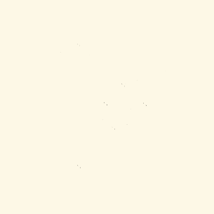 CN(C)c1ccc(-n2c3nc(=O)n(CCCN4CCOCC4)c(=O)c-3nc3ccc(Cl)cc32)cc1